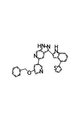 c1ccc(COc2cncc(-c3cc4c(-c5cc6c(-c7cccs7)cccc6[nH]5)n[nH]c4cn3)c2)cc1